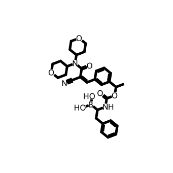 CC(OC(=O)NC(Cc1ccccc1)B(O)O)c1cccc(C=C(C#N)C(=O)N(C2CCOCC2)C2CCOCC2)c1